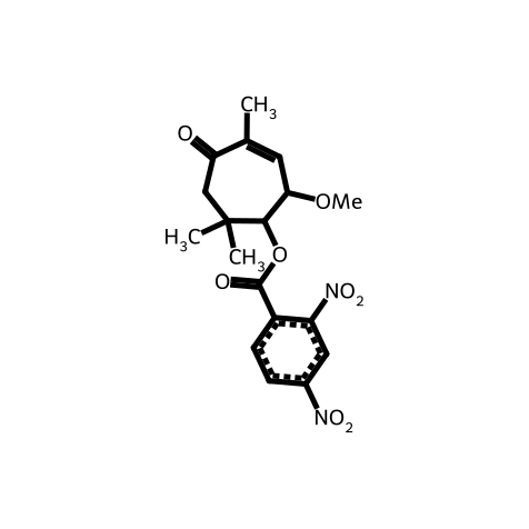 COC1C=C(C)C(=O)CC(C)(C)C1OC(=O)c1ccc([N+](=O)[O-])cc1[N+](=O)[O-]